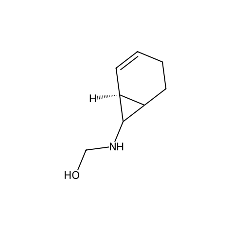 OCNC1C2CCC=C[C@@H]21